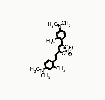 Cc1cc(N(C)C)ccc1C=CC(C=Cc1ccc(N(C)C)cc1C)O[Cl+3]([O-])([O-])[O-]